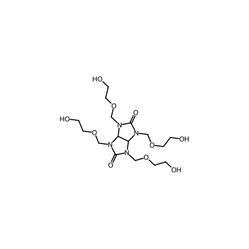 O=C1N(COCCO)C2C(N1COCCO)N(COCCO)C(=O)N2COCCO